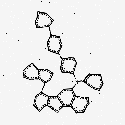 c1ccc(-c2ccc(-c3ccc(N(c4ccccc4)c4cc5c(oc6cccc(-c7cccc8ccccc78)c65)c5ccccc45)cc3)cc2)cc1